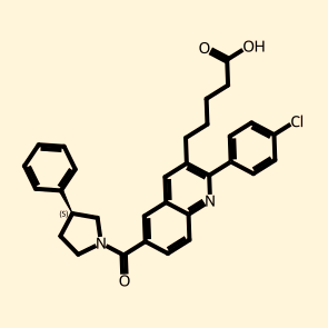 O=C(O)CCCCc1cc2cc(C(=O)N3CC[C@@H](c4ccccc4)C3)ccc2nc1-c1ccc(Cl)cc1